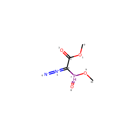 COC(=O)C(=[N+]=[N-])[PH](=O)OC